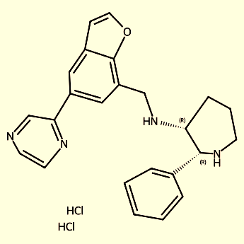 Cl.Cl.c1ccc([C@H]2NCCC[C@H]2NCc2cc(-c3cnccn3)cc3ccoc23)cc1